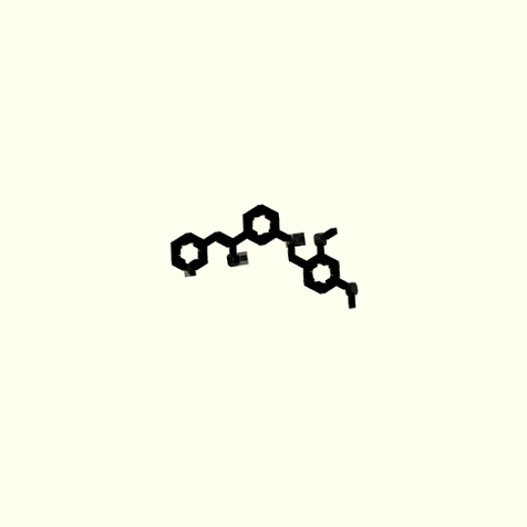 COc1ccc(CNc2cccc(/C(O)=C/c3cccnc3)c2)c(OC)c1